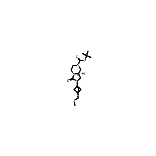 CSCC12CC(N3C[C@@H]4CN(C(=O)OC(C)(C)C)CCN4C3=O)(C1)C2